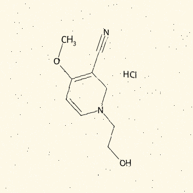 COC1=C(C#N)CN(CCO)C=C1.Cl